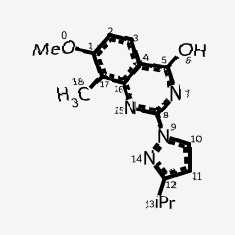 COc1ccc2c(O)nc(-n3ccc(C(C)C)n3)nc2c1C